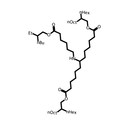 CCCCCCCCC(CCCCCC)COC(=O)CCCCCC(CCCCCC(=O)OCC(CCCCCC)CCCCCCCC)NCCCCCC(=O)OCC(CC)CCCC